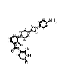 Nc1ccc(N2CC(N3CCN(c4cccc5c4CN(C4CCC(=O)NC4=O)C5=O)CC3)C2)cc1